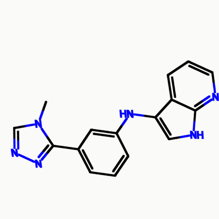 Cn1cnnc1-c1cccc(Nc2c[nH]c3ncccc23)c1